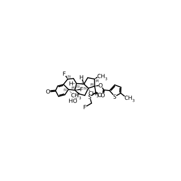 Cc1ccc(C(=O)O[C@]2(C(=O)SCF)[C@H](C)C[C@H]3[C@@H]4C[C@H](F)C5=CC(=O)C=C[C@]5(C)[C@@]4(F)[C@@H](O)C[C@@]32C)s1